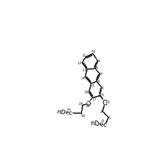 CCCCCCCCCCCCOc1cc2cc3ccccc3cc2cc1OCCCCCCCCCCCC